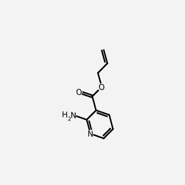 C=CCOC(=O)c1cccnc1N